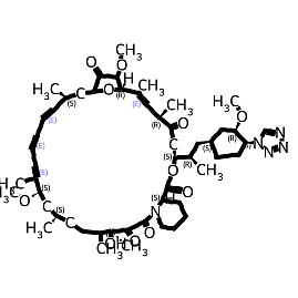 COC1C(=O)C2C[C@H](C)/C=C/C=C/C=C(\C)[C@@H](OC)C[C@@H](C)CCC(C)[C@](C)(O)C(=O)C(=O)N3CCCC[C@H]3C(=O)O[C@H]([C@H](C)C[C@@H]3CC[C@H](n4cnnn4)[C@H](OC)C3)CC(=O)[C@H](C)/C=C(\C)[C@H]1O2